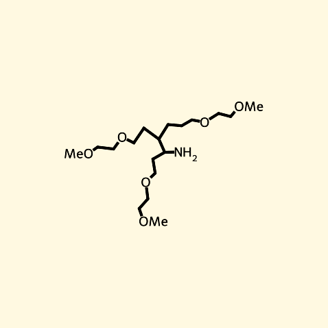 COCCOCCCC(CCOCCOC)C(N)CCOCCOC